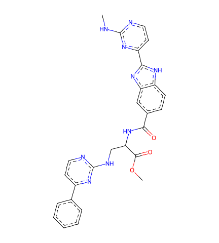 CNc1nccc(-c2nc3cc(C(=O)NC(CNc4nccc(-c5ccccc5)n4)C(=O)OC)ccc3[nH]2)n1